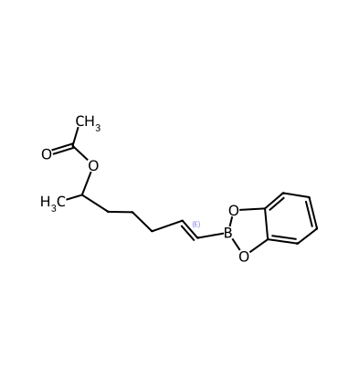 CC(=O)OC(C)CCC/C=C/B1Oc2ccccc2O1